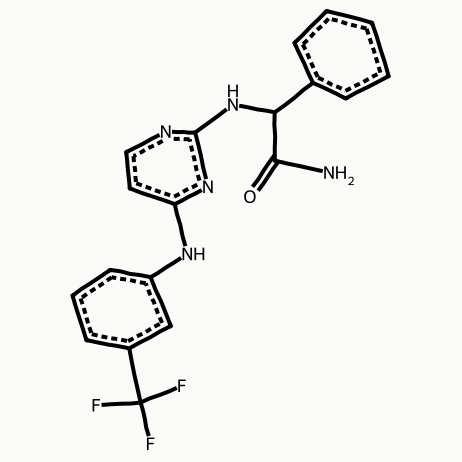 NC(=O)C(Nc1nccc(Nc2cccc(C(F)(F)F)c2)n1)c1ccccc1